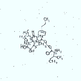 CCC[C@@H]1CCN(C(=O)OCOC(=O)[C@@H](N)C(C)CC)[C@H](C(=O)N[C@H](C(C)C)[C@H]2O[C@H](SC)[C@H](O)[C@@H](O)[C@H]2O)C1